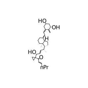 C=C1/C(=C\C=C2/CCC[C@]3(C)[C@@H]([C@H](C)/C=C/[C@@H](O)C4(C(=O)/C=C/CCC)CC4)CC[C@@H]23)C[C@@H](O)C[C@@H]1O